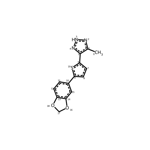 Cc1n[nH]nc1-c1ccc(-c2ccc3c(c2)OCO3)s1